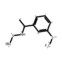 CC(NSC(C)(C)C)c1cccc(SC(F)(F)F)c1